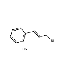 Br.[Ni][CH2]C=Cc1ccccc1